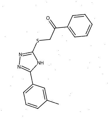 Cc1cccc(-c2nnc(SCC(=O)c3ccccc3)[nH]2)c1